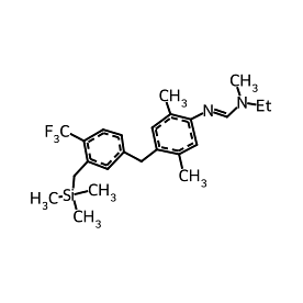 CCN(C)C=Nc1cc(C)c(Cc2ccc(C(F)(F)F)c(C[Si](C)(C)C)c2)cc1C